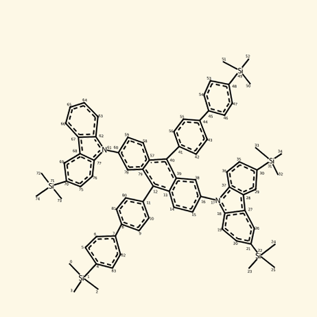 C[Si](C)(C)c1ccc(-c2ccc(-c3c4ccc(-n5c6ccc([Si](C)(C)C)cc6c6cc([Si](C)(C)C)ccc65)cc4c(-c4ccc(-c5ccc([Si](C)(C)C)cc5)cc4)c4ccc(-n5c6ccccc6c6cc([Si](C)(C)C)ccc65)cc34)cc2)cc1